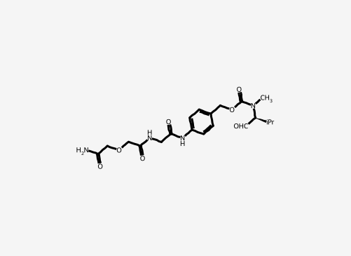 CC(C)[C@@H](C=O)N(C)C(=O)OCc1ccc(NC(=O)CNC(=O)COCC(N)=O)cc1